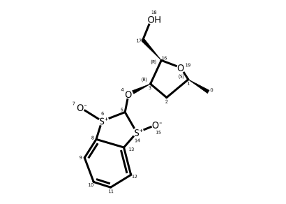 C[C@H]1C[C@@H](OC2[S+]([O-])c3ccccc3[S+]2[O-])[C@@H](CO)O1